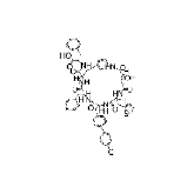 O=C1C[C@@H](O)C(=O)Nc2ccc(cc2)C[C@@H](C(=O)N[C@@H](Cc2ccccc2)C(=O)O)NC(=O)[C@@H](Cc2ccccc2)NC(=O)[C@H](Cc2ccc(-c3ccc(Cl)cc3)cc2)NC(=O)[C@@H](Cc2cccs2)N1